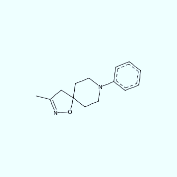 CC1=NOC2(CCN(c3ccccc3)CC2)C1